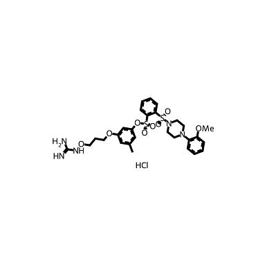 COc1ccccc1N1CCN(S(=O)(=O)c2ccccc2S(=O)(=O)Oc2cc(C)cc(OCCCONC(=N)N)c2)CC1.Cl